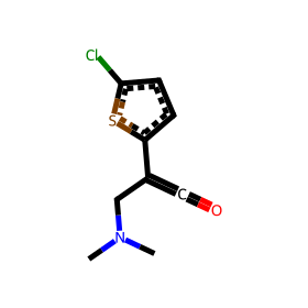 CN(C)CC(=C=O)c1ccc(Cl)s1